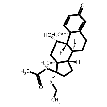 CCS[C@@]1(SC(C)=O)CC[C@H]2[C@@H]3CCC4=CC(=O)C=C[C@]4(C)[C@@]3(F)[C@@H](O)C[C@@]21C